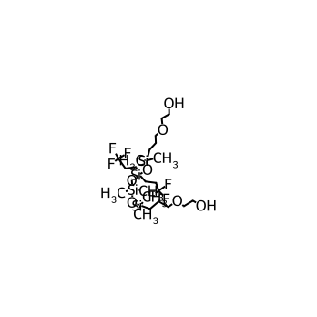 C[Si](C)(CCCOCCO)O[Si](C)(C)O[Si](CCC(F)(F)F)(CCC(F)(F)F)O[Si](C)(C)CCCOCCO